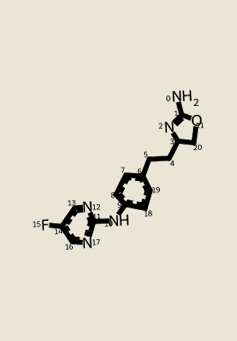 NC1=NC(CCc2ccc(Nc3ncc(F)cn3)cc2)CO1